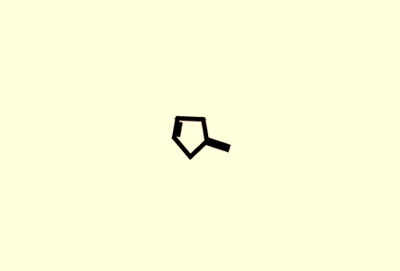 C=C1[CH][C]=[C]C1